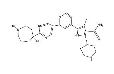 Cc1c(-c2ccnc(-c3cnc(C4(O)CCCN(O)CC4)nc3)c2)[nH]c(N2CCNCC2)c1C(N)=O